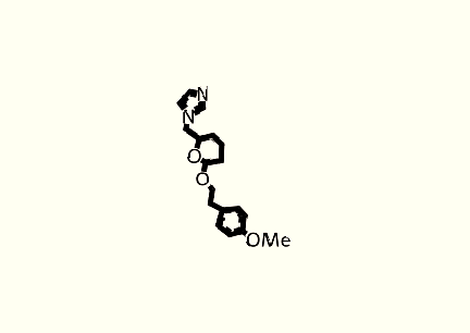 COc1ccc(CCOC2CCCC(Cn3ccnc3)O2)cc1